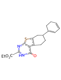 CCOC(=O)c1nc2sc3c(c2c(=O)[nH]1)CCC(C1=CC=CCC1)C3